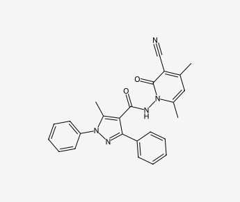 Cc1cc(C)n(NC(=O)c2c(-c3ccccc3)nn(-c3ccccc3)c2C)c(=O)c1C#N